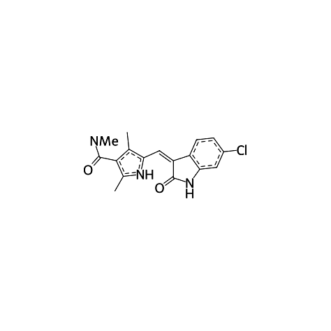 CNC(=O)c1c(C)[nH]c(/C=C2\C(=O)Nc3cc(Cl)ccc32)c1C